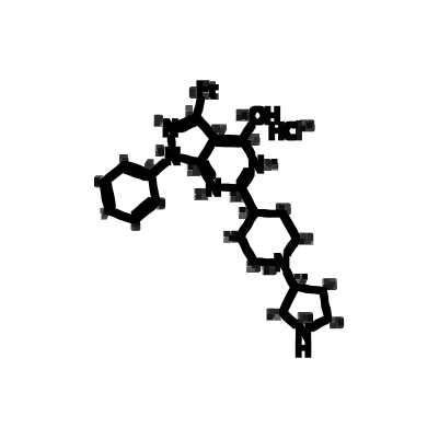 CCc1nn(-c2ccccc2)c2nc(C3CCN(C4CCNC4)CC3)nc(O)c12.Cl